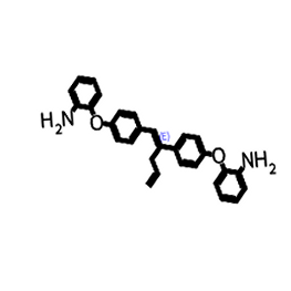 C=CC/C(=C\c1ccc(Oc2ccccc2N)cc1)c1ccc(Oc2ccccc2N)cc1